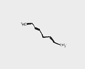 [CH]=CC=CCC=C[CH2]